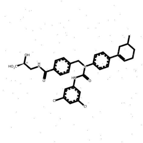 CC1CCC=C(c2ccc(N(Cc3ccc(C(=O)NC[C@H](O)C(=O)O)cc3)C(=O)Nc3cc(Cl)cc(Cl)c3)cc2)C1